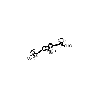 CCCCC1(CCCC)c2cc(C#Cc3sc(C=O)c4c3OCCO4)ccc2-c2ccc(C#Cc3sc(OC)c4c3OCCO4)cc21